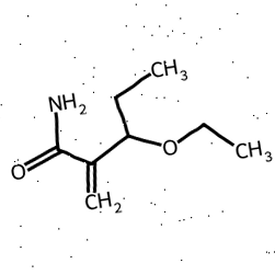 C=C(C(N)=O)C(CC)OCC